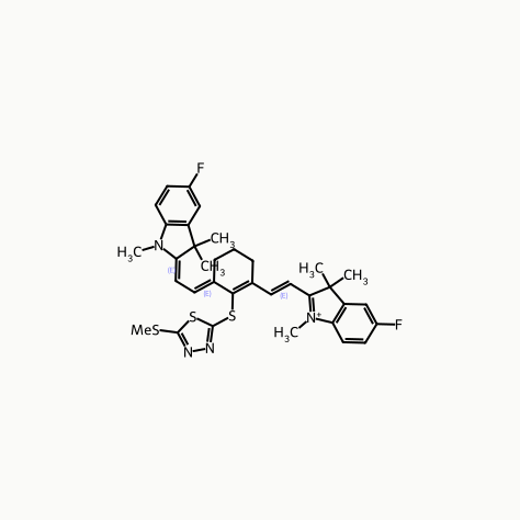 CSc1nnc(SC2=C(/C=C/C3=[N+](C)c4ccc(F)cc4C3(C)C)CCC/C2=C\C=C2\N(C)c3ccc(F)cc3C2(C)C)s1